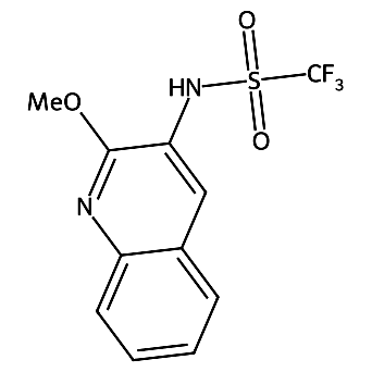 COc1nc2ccccc2cc1NS(=O)(=O)C(F)(F)F